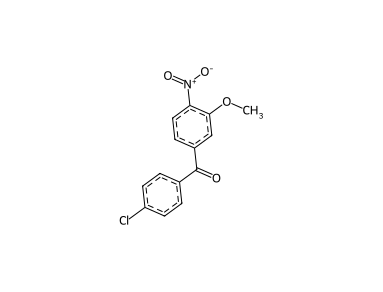 COc1cc(C(=O)c2ccc(Cl)cc2)ccc1[N+](=O)[O-]